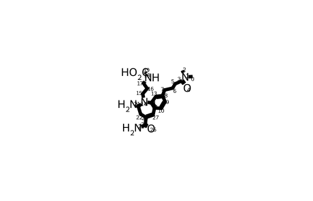 CN(C)C(=O)CCCc1ccc2c(c1)N(CCCNC(=O)O)C(N)CC(C(N)=O)=C2